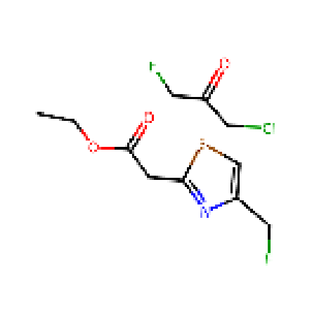 CCOC(=O)Cc1nc(CF)cs1.O=C(CF)CCl